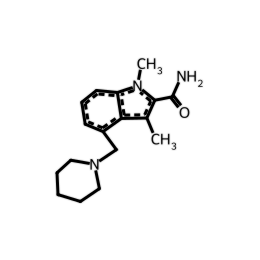 Cc1c(C(N)=O)n(C)c2cccc(CN3CCCCC3)c12